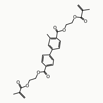 C=C(C)C(=O)OCCOC(=O)c1ccc(-c2ccc(C(=O)OCCOC(=O)C(=C)C)c(C)c2)cc1